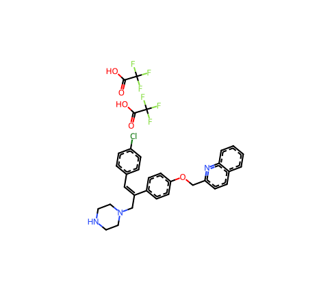 Clc1ccc(C=C(CN2CCNCC2)c2ccc(OCc3ccc4ccccc4n3)cc2)cc1.O=C(O)C(F)(F)F.O=C(O)C(F)(F)F